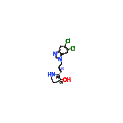 O[C@H]1CCCN[C@@H]1/C=C/Cn1cnc2cc(Cl)c(Cl)cc21